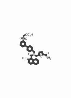 Cc1ccc2ccccc2c1C(=O)N(Cc1ccc(-c2cccc(S(=O)(=O)CC(=O)O)c2)cc1)Cc1ccc(C(N)=O)o1